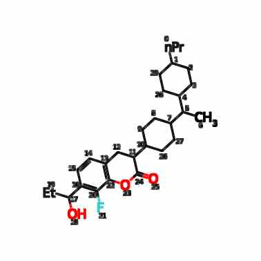 CCCC1CCC(C(C)C2CCC(C3Cc4ccc(C(O)CC)c(F)c4OC3=O)CC2)CC1